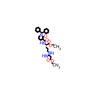 CCOC(=O)CC(=N)NCCC[C@H](NC(=O)c1cccn(C(c2ccccc2)c2ccccc2)c1=O)C(=O)OCC